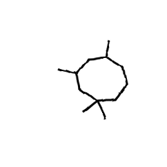 CC1CCCC(C)(C)CC(C)C1